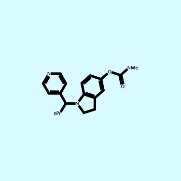 CCCC(c1ccncc1)N1CCc2cc(OC(=O)NC)ccc21